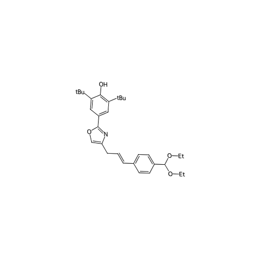 CCOC(OCC)c1ccc(/C=C/Cc2coc(-c3cc(C(C)(C)C)c(O)c(C(C)(C)C)c3)n2)cc1